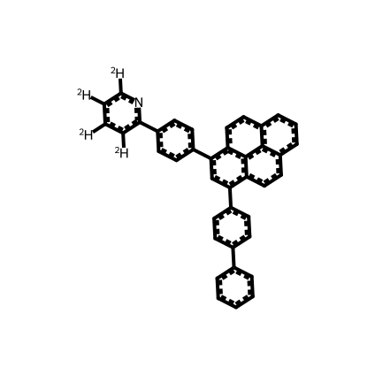 [2H]c1nc(-c2ccc(-c3cc(-c4ccc(-c5ccccc5)cc4)c4ccc5cccc6ccc3c4c56)cc2)c([2H])c([2H])c1[2H]